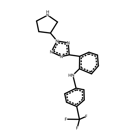 FC(F)(F)c1ccc(Nc2ccccc2-c2nnn(C3CCNC3)n2)cc1